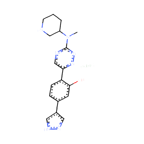 CN(c1ncc(-c2ccc(-c3cn[nH]c3)cc2O)nn1)C1CCCNC1.Cl.Cl